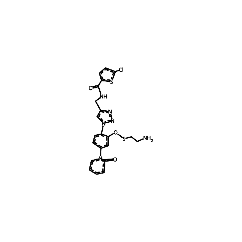 NCCSOc1cc(-n2ccccc2=O)ccc1-n1cc(CNC(=O)c2ccc(Cl)s2)nn1